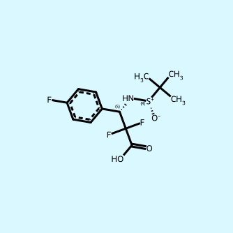 CC(C)(C)[S@+]([O-])N[C@@H](c1ccc(F)cc1)C(F)(F)C(=O)O